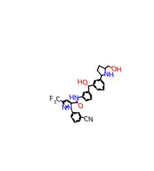 N#Cc1cccc(-n2nc(C(F)(F)F)cc2C(=O)Nc2cccc(C(O)c3cccc(C4CCC(CO)N4)c3)c2)c1